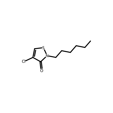 CCCCCCn1scc(Cl)c1=O